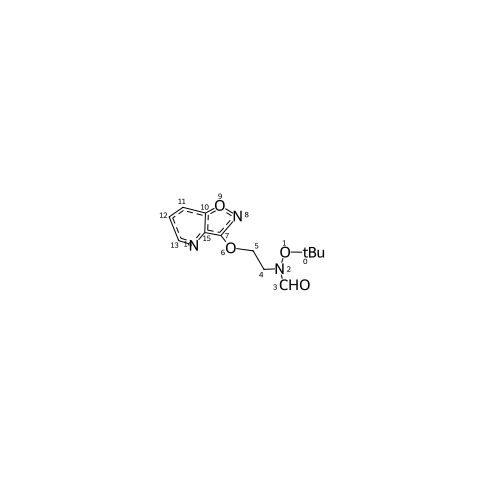 CC(C)(C)ON(C=O)CCOc1noc2cccnc12